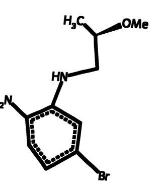 CO[C@H](C)CNc1cc(Br)ccc1N